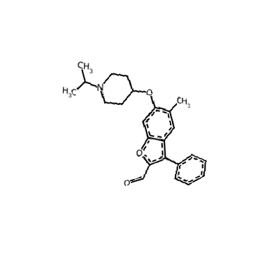 Cc1cc2c(-c3ccccc3)c(C=O)oc2cc1OC1CCN(C(C)C)CC1